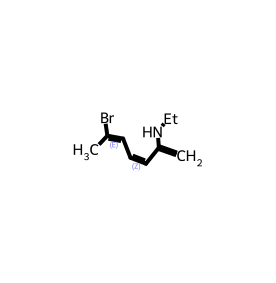 C=C(/C=C\C=C(/C)Br)NCC